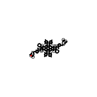 Cc1ccc(Oc2cc3c4c(cc(Oc5ccc(C)cc5C)c5c6c(Oc7ccc(C)cc7C)cc7c8c(cc(Oc9ccc(C)cc9C)c(c2c45)c86)C(=O)N(C(C(=O)N(C)c2cccc(CN(CC4CO4)CC4CO4)c2)C2CCCCCC2)C7=O)C(=O)N(C(C(=O)N(C)c2cccc(CN(CC4CO4)CC4CO4)c2)C2CCCCCC2)C3=O)c(C)c1